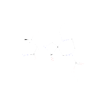 CC(C)CN1CCN(C(=O)OC(C)(C)C)CC12CN([C@H](C(N)=O)[C@@H](C)O)C2=O